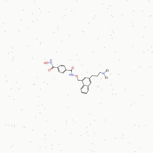 CCN(CC)CCCc1cc(CONC(=O)c2ccc(C(=O)NO)cc2)c2ccccc2c1